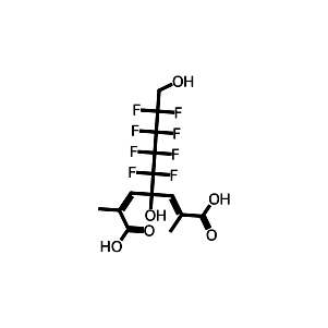 CC(=CC(O)(C=C(C)C(=O)O)C(F)(F)C(F)(F)C(F)(F)C(F)(F)CO)C(=O)O